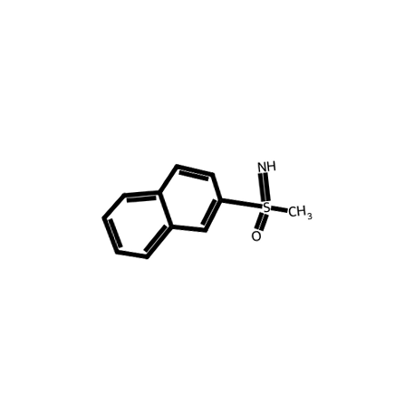 CS(=N)(=O)c1ccc2ccccc2c1